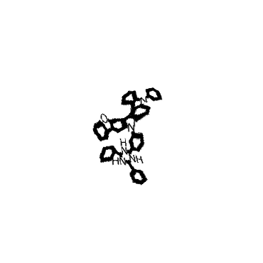 c1ccc(C2NC(c3ccccc3)NC(c3cccc(-n4c5cc6c(cc5c5c7c8ccccc8n(-c8ccccc8)c7ccc54)oc4ccccc46)c3)N2)cc1